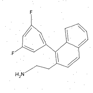 NCCc1ccc2ccccc2c1-c1cc(F)cc(F)c1